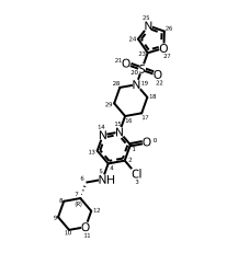 O=c1c(Cl)c(NC[C@H]2CCCOC2)cnn1C1CCN(S(=O)(=O)c2cnco2)CC1